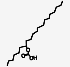 CCCCCCCCCCCCCC(CCCCCC)OC(=O)O